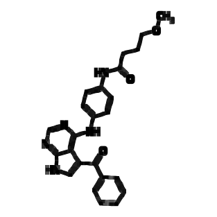 COCCCC(=O)Nc1ccc(Nc2ncnc3[nH]cc(C(=O)c4ccccc4)c23)cc1